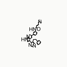 CN(C)C/C=C/C(=O)Nc1cccc(-c2cnc3[nH]cc(-c4ncncc4CCc4ccccc4)c3c2)c1